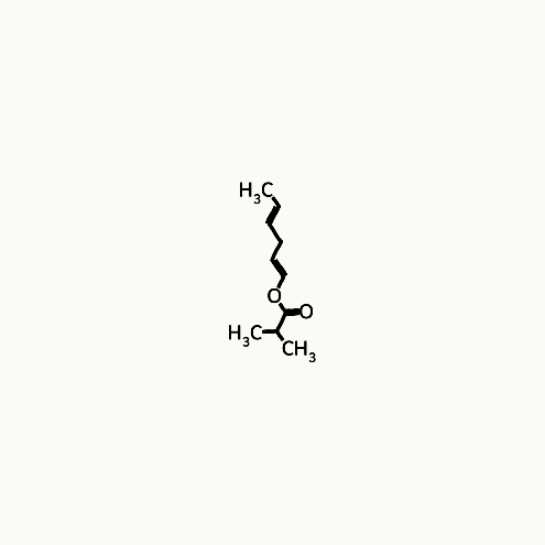 CC=CCC=COC(=O)C(C)C